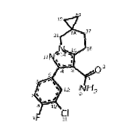 NC(=O)c1c(-c2ccc(F)c(Cl)c2)nn2c1CCC1(CC1)C2